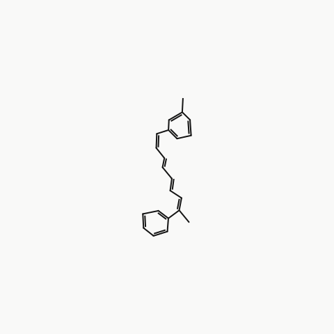 CC(=CC=CC=C/C=C\c1cccc(C)c1)c1ccccc1